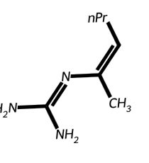 CCC/C=C(/C)N=C(N)N